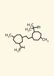 CC1CCC(CCC2CCC(C)CCC(C(C)(C)C(C)C)C2)CC(N(C)I)CC1